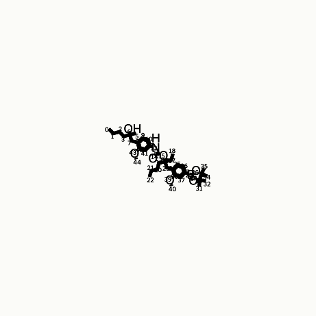 CCCCC(C)(O)Cc1ccc(NC(=O)OC(CC)(CCCC)Cc2ccc(B3OC(C)(C)C(C)(C)O3)cc2OC)cc1OC